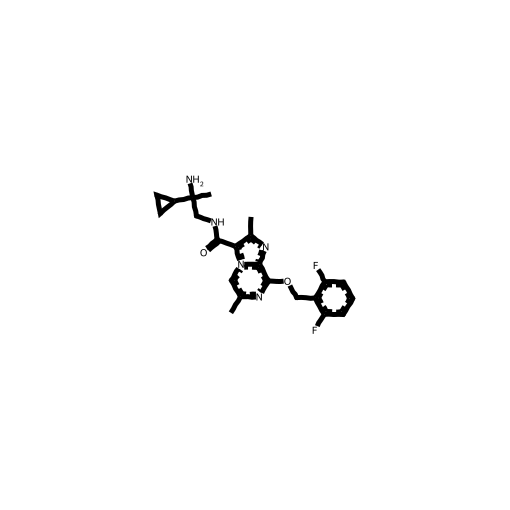 Cc1cn2c(C(=O)NCC(C)(N)C3CC3)c(C)nc2c(OCc2c(F)cccc2F)n1